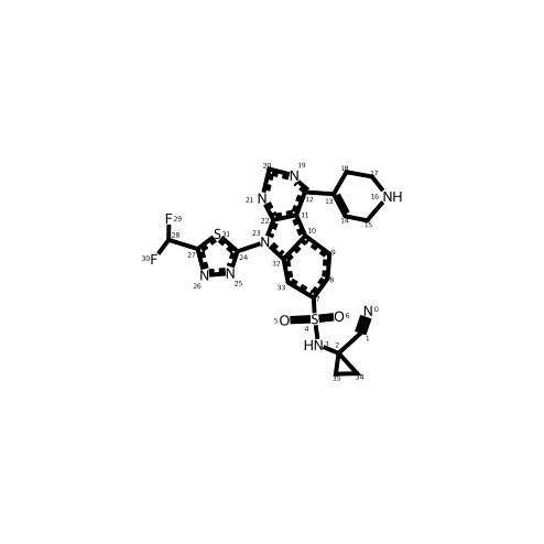 N#CC1(NS(=O)(=O)c2ccc3c4c(C5=CCNCC5)ncnc4n(-c4nnc(C(F)F)s4)c3c2)CC1